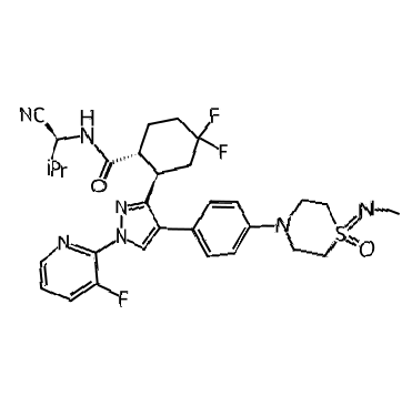 CN=S1(=O)CCN(c2ccc(-c3cn(-c4ncccc4F)nc3[C@@H]3CC(F)(F)CC[C@H]3C(=O)N[C@H](C#N)C(C)C)cc2)CC1